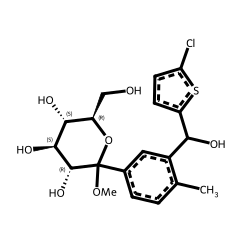 COC1(c2ccc(C)c(C(O)c3ccc(Cl)s3)c2)O[C@H](CO)[C@@H](O)[C@H](O)[C@H]1O